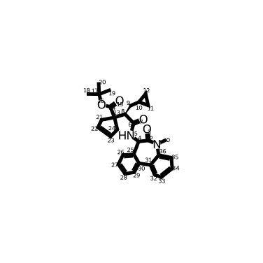 CN1C(=O)C(NC(=O)[C@H](CC2CC2)C2(C(=O)OC(C)(C)C)CC=CC2)c2ccccc2-c2ccccc21